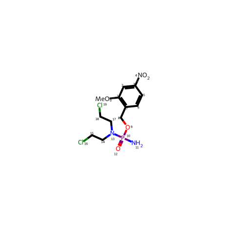 COc1cc([N+](=O)[O-])ccc1COP(N)(=O)N(CCCl)CCCl